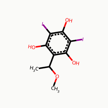 COC(C)c1c(O)c(I)c(O)c(I)c1O